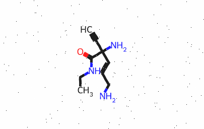 C#CC(N)(C=CCN)C(=O)NCC